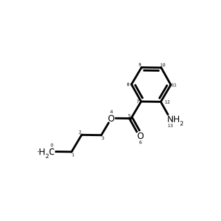 [CH2]CCCOC(=O)c1ccccc1N